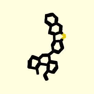 C=Cc1cccc2c(-c3ccc4sc5cc6ccccc6cc5c4c3)cc3cc#cc(C)c3c12